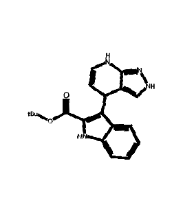 CC(C)(C)OC(=O)c1[nH]c2ccccc2c1C1C=CNc2n[nH]cc21